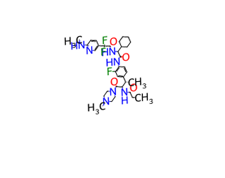 CCC(=O)N[C@@H](C(=O)N1CCN(C)CC1)[C@@H](C)c1ccc(NC(=O)[C@@H](NC(=O)C(F)(F)c2ccc(NC)nc2)C2CCCCC2)c(F)c1